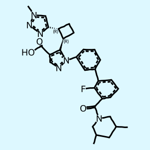 CC1CC(C)CN(C(=O)c2cccc(-c3cccc(-n4ncc(C(=O)O)c4[C@@H]4CC[C@H]4c4cn(C)nn4)c3)c2F)C1